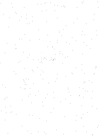 Cc1ccc(-c2nsc(NC(=O)[C@@H]3CCCCN3C(=O)OC(C)(C)C)n2)cc1